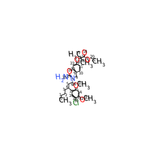 CCCCC(CCN(Cc1ccc(OC(C)(C)C(=O)OCC)cc1)C(N)=O)c1cc(Cl)c(OC)cc1OC